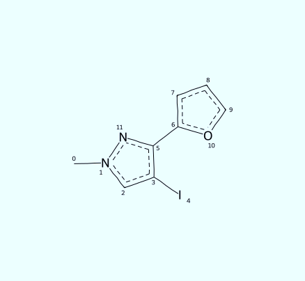 Cn1cc(I)c(-c2ccco2)n1